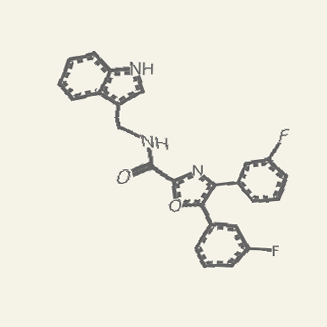 O=C(NCc1c[nH]c2ccccc12)c1nc(-c2cccc(F)c2)c(-c2cccc(F)c2)o1